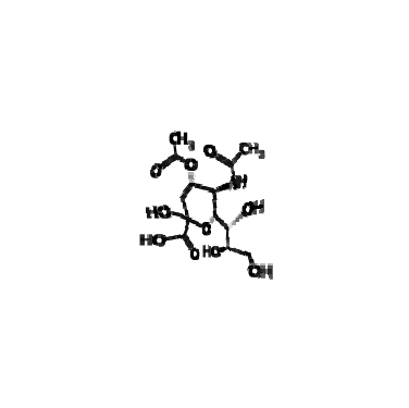 CC(=O)N[C@H]1[C@H]([C@H](O)[C@H](O)CO)OC(O)(C(=O)O)C[C@@H]1OC(C)=O